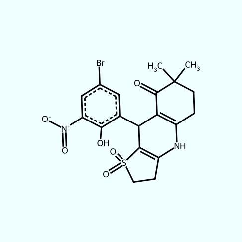 CC1(C)CCC2=C(C1=O)C(c1cc(Br)cc([N+](=O)[O-])c1O)C1=C(CCS1(=O)=O)N2